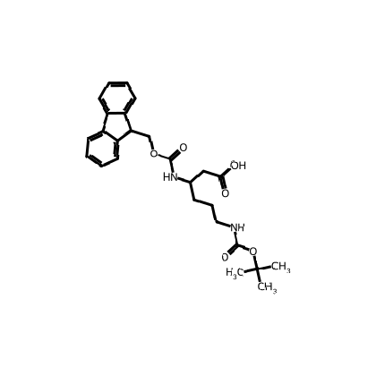 CC(C)(C)OC(=O)NCCCC(CC(=O)O)NC(=O)OCC1c2ccccc2-c2ccccc21